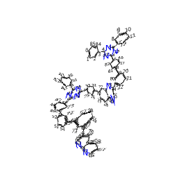 c1ccc(-c2nc(-c3ccccc3)nc(-c3ccc(-c4cccc(-c5cnc6ccc(-c7ccc(-c8nc(-c9ccccc9)nc(-c9cccc(-c%10cccc(-c%11cccc(-c%12cnc%13ncccc%13c%12)c%11)c%10)c9)n8)cc7)cc6n5)c4)cc3)n2)cc1